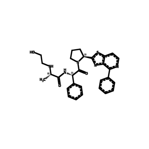 C[C@H](NCCO)C(=O)N[C@H](C(=O)N1CCC[C@H]1c1nc2c(-c3ccccc3)nccc2s1)c1ccccc1